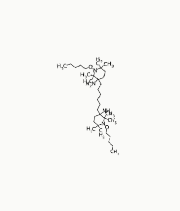 CCCCCON1C(C)(C)CCC(N)(CCCCCCC2(N)CCC(C)(C)N(OCCCCC)C2(C)C)C1(C)C